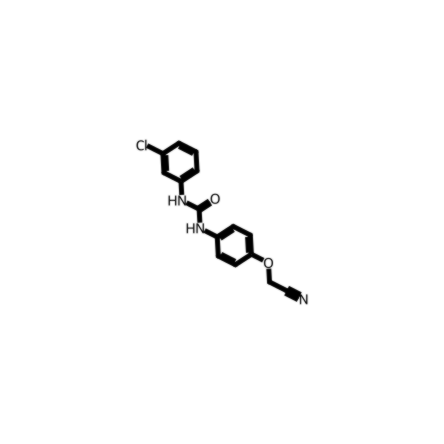 N#CCOc1ccc(NC(=O)Nc2cccc(Cl)c2)cc1